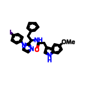 COc1ccc2[nH]cc(CC(=O)NC(Cc3ccccc3)c3nccn3-c3ccc(I)cc3)c2c1